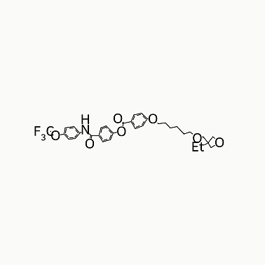 CCC1(COCCCCCCOc2ccc(C(=O)Oc3ccc(C(=O)Nc4ccc(OC(F)(F)F)cc4)cc3)cc2)COC1